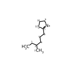 CCC(C)CC[CH]C1=NCCS1